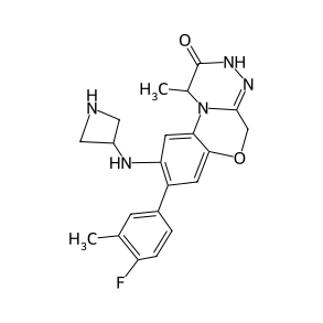 Cc1cc(-c2cc3c(cc2NC2CNC2)N2C(=NNC(=O)C2C)CO3)ccc1F